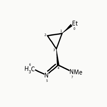 CC[C@@H]1C[C@@H]1/C(=N\C)NC